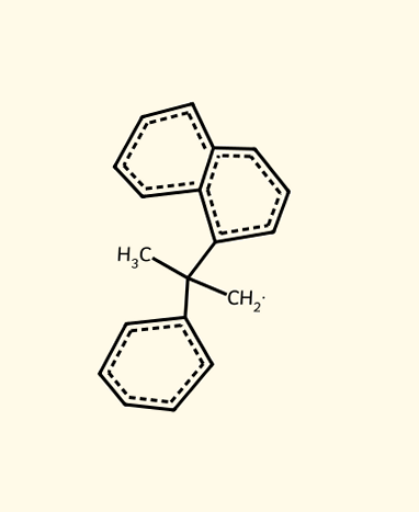 [CH2]C(C)(c1ccccc1)c1cccc2ccccc12